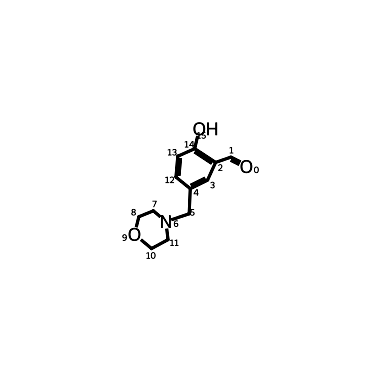 O=Cc1cc(CN2CCOCC2)ccc1O